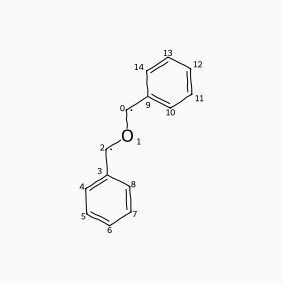 [CH](O[CH]c1ccccc1)c1ccccc1